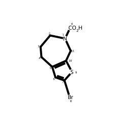 O=C(O)N1CCCc2cc(Br)sc2C1